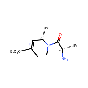 CCOC(=O)/C(C)=C/[C@H](C(C)C)N(C)C(=O)[C@@H](N)C(C)C